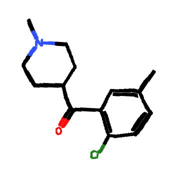 Cc1ccc(Cl)c(C(=O)C2CCN(C)CC2)c1